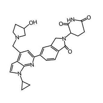 O=C1CCC(N2Cc3cc(-c4cc(CN5CCC(O)C5)c5ccn(C6CC6)c5n4)ccc3C2=O)C(=O)N1